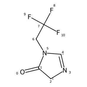 O=C1[C]N=[C]N1CC(F)(F)F